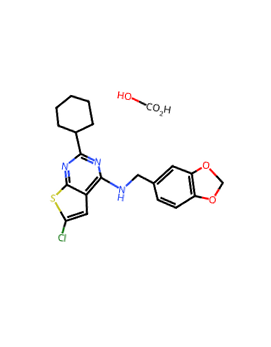 Clc1cc2c(NCc3ccc4c(c3)OCO4)nc(C3CCCCC3)nc2s1.O=C(O)O